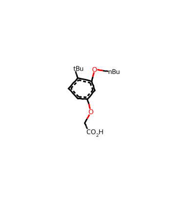 CCCCOc1cc(OCC(=O)O)ccc1C(C)(C)C